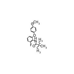 COc1ccc(Oc2cccc(F)c2NC(=O)C(C)(C)C)cc1